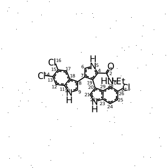 CCNC(=O)c1[nH]cc(-c2c[nH]c3cc(Cl)c(Cl)cc23)c1-c1c[nH]c2ccc(Cl)cc12